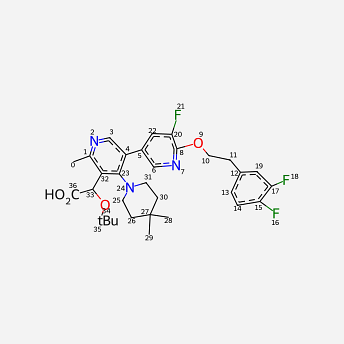 Cc1ncc(-c2cnc(OCCc3ccc(F)c(F)c3)c(F)c2)c(N2CCC(C)(C)CC2)c1C(OC(C)(C)C)C(=O)O